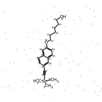 C[Si](C)(C)C#Cc1ccc2cc(OCCCCCCO)ccc2c1